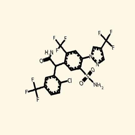 NC(=O)C(c1cc(C(F)(F)F)ccc1Cl)c1cc(S(N)(=O)=O)c(-n2cc(C(F)(F)F)cn2)cc1C(F)(F)F